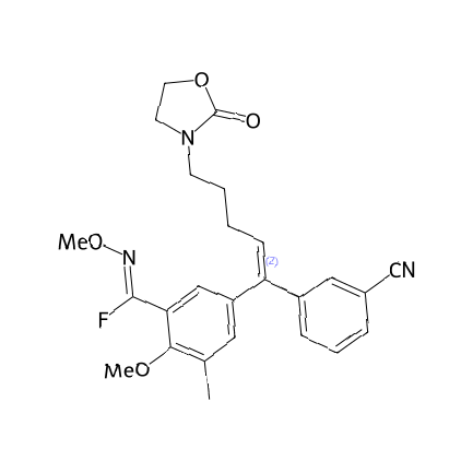 CON=C(F)c1cc(/C(=C\CCCN2CCOC2=O)c2cccc(C#N)c2)cc(C)c1OC